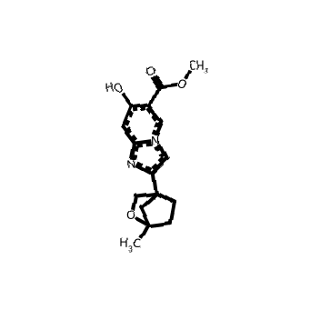 COC(=O)c1cn2cc(C34CCC(C)(C3)OC4)nc2cc1O